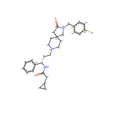 O=C(CC1CC1)N[C@@H](CCN1CCC2(CC1)CC(=O)N(Cc1ccc(F)cc1)C2)c1ccccc1